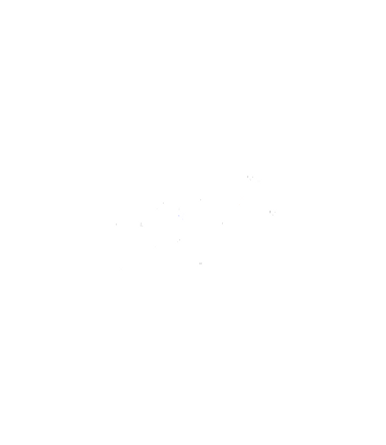 COP(OC)SCN1C(=O)c2ccccc2C1=O